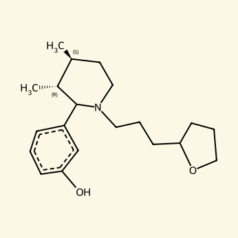 C[C@H]1CCN(CCCC2CCCO2)C(c2cccc(O)c2)[C@@H]1C